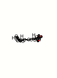 O=C(CN1Cc2ccccc2[C@@H]2OC(c3ccccc3)=N[C@]2(Cc2ccccc2)C1=O)NCCOCCOCC#CCOCC(=O)Nc1cccc2c1CN(C1CCC(=O)NC1=O)C2=O